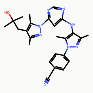 Cc1nn(-c2cc(Nc3c(C)nn(-c4ccc(C#N)cc4)c3C)ncn2)c(C)c1CC(C)(C)O